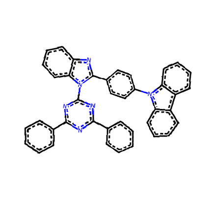 c1ccc(-c2nc(-c3ccccc3)nc(-n3c(-c4ccc(-n5c6ccccc6c6ccccc65)cc4)nc4ccccc43)n2)cc1